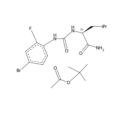 CC(=O)OC(C)(C)C.CC(C)C[C@H](NC(=O)Nc1ccc(Br)cc1F)C(N)=O